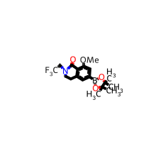 COc1cc(B2OC(C)(C)C(C)(C)O2)cc2c1C(=O)N(CC(F)(F)F)CC2